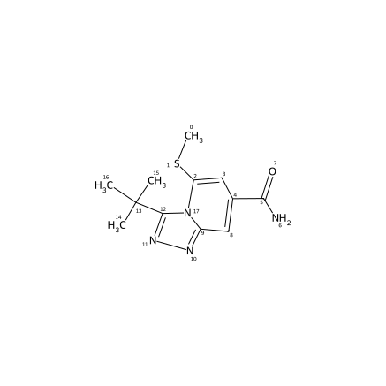 CSc1cc(C(N)=O)cc2nnc(C(C)(C)C)n12